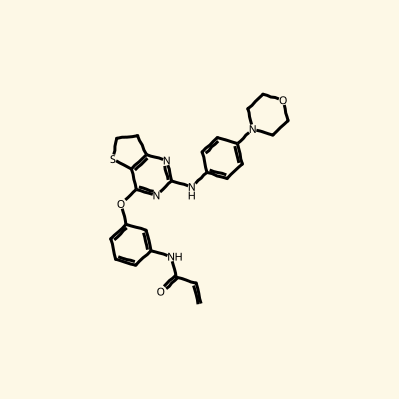 C=CC(=O)Nc1cccc(Oc2nc(Nc3ccc(N4CCOCC4)cc3)nc3c2SCC3)c1